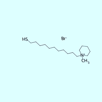 C[N+]1(CCCCCCCCCCCS)CCCCC1.[Br-]